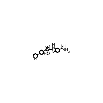 Cn1nc(-c2ccc(-c3cccnc3)cc2)c(O)c1-c1nc2ccc(C(=N)N)cc2[nH]1